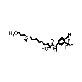 CCCC[S+]([O-])CCCCCCC[C@](C)(O)C(=O)Nc1ccc(C#N)c(C(F)(F)F)c1